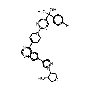 CC(O)(c1ccc(F)cc1)c1cnc(N2CC=C(c3ncnn4cc(-c5cnn([C@H]6COC[C@H]6O)c5)cc34)CC2)nc1